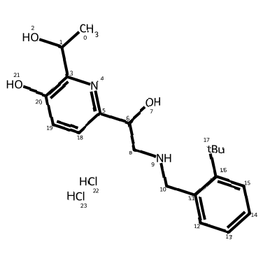 CC(O)c1nc(C(O)CNCc2ccccc2C(C)(C)C)ccc1O.Cl.Cl